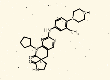 Cc1cc(Nc2ncc3c(n2)N(C2CCCC2)C(=O)[C@]2(CCNC2=O)C3)ccc1N1CCNCC1